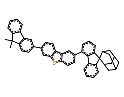 CC1(C)c2ccccc2-c2cc(-c3ccc4c(c3)sc3ccc(-c5cccc6c5-c5ccccc5C65C6CC7CC(C6)CC5C7)cc34)ccc21